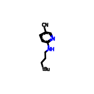 CC(C)(C)CCCNc1ccc(C#N)cn1